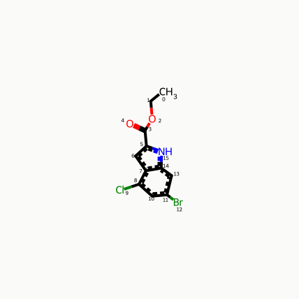 CCOC(=O)c1cc2c(Cl)cc(Br)cc2[nH]1